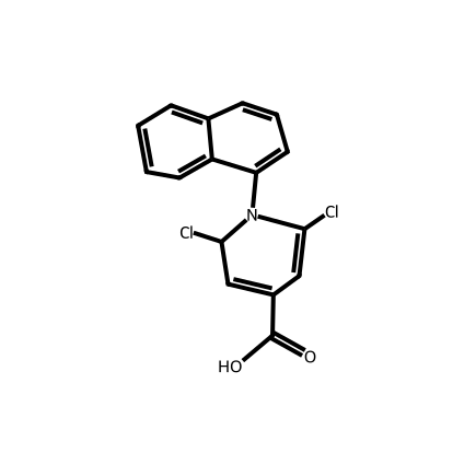 O=C(O)C1=CC(Cl)N(c2cccc3ccccc23)C(Cl)=C1